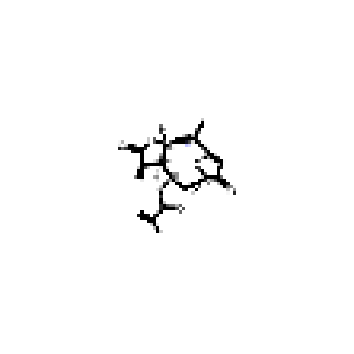 C=C(C)C(=O)O[C@@H]1C[C@@]2(C)OC(=CC2=O)/C(C)=C\[C@H]2OC(=O)C(=C)[C@@H]21